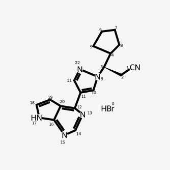 Br.N#CC[C@H](C1CCCC1)n1cc(-c2ncnc3[nH]ccc23)cn1